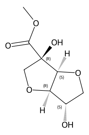 COC(=O)[C@@]1(O)CO[C@@H]2[C@@H](O)CO[C@@H]21